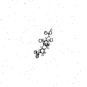 COC(=O)CCc1c(Cl)nc(Cc2ccc([N+](=O)[O-])cc2)nc1Cl